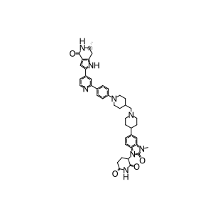 C[C@@H]1Cc2[nH]c(-c3ccnc(-c4ccc(N5CCC(CN6CCC(c7ccc8c(c7)n(C)c(=O)n8C7CCC(=O)NC7=O)CC6)CC5)cc4)c3)cc2C(=O)N1